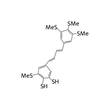 CSc1cc(/C=C/C=C/c2cc(SC)c(SC)c(SC)c2)cc(S)c1S